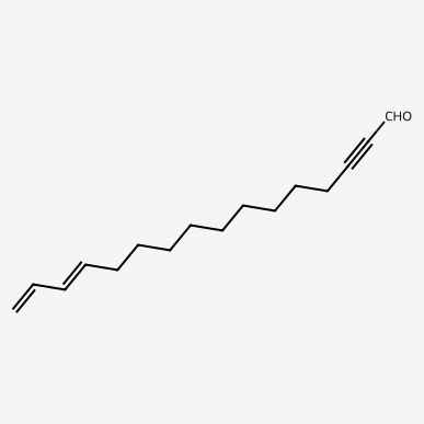 C=CC=CCCCCCCCCCC#CC=O